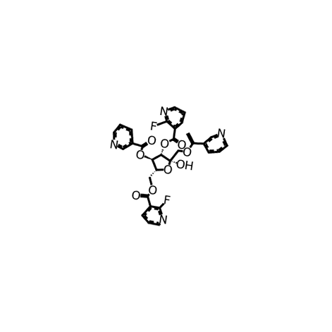 C=C(OC[C@@]1(O)O[C@H](COC(=O)c2cccnc2F)[C@@H](OC(=O)c2cccnc2)[C@@H]1OC(=O)c1cccnc1F)c1cccnc1